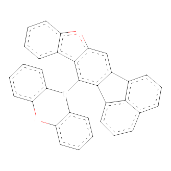 c1ccc2c(c1)Oc1ccccc1B2c1c2c(cc3oc4ccccc4c13)-c1cccc3cccc-2c13